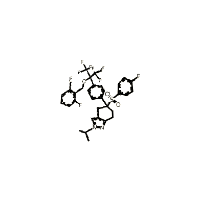 CC(C)n1cc2c(n1)CCC(c1ccc(C(OCc3c(F)cccc3F)(C(F)(F)F)C(F)(F)F)cc1)(S(=O)(=O)c1ccc(F)cc1)C2